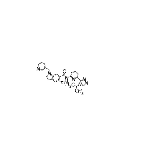 CC(C)n1cnnc1-c1cccc(NC(=O)c2cc3c(ccn3Cc3cccnc3)cc2F)n1